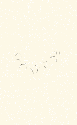 NC(N)=Nc1nc(-c2ccc(CNC(=O)c3ccco3)o2)cs1